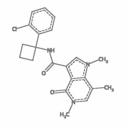 Cc1cn(C)c(=O)c2c(C(=O)NC3(c4ccccc4Cl)CCC3)cn(C)c12